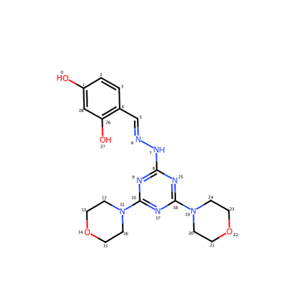 Oc1ccc(C=NNc2nc(N3CCOCC3)nc(N3CCOCC3)n2)c(O)c1